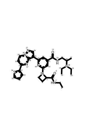 CCNC(=O)C1CCN1c1cc(C(=O)NCC(C)N(CC)CC)cc(-c2cnn3ccc(-c4cccs4)nc23)n1